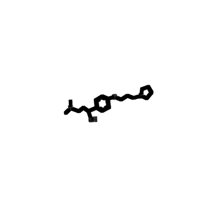 CN(C)CCC(O)c1ccc(OCCCN2CCCC2)cc1